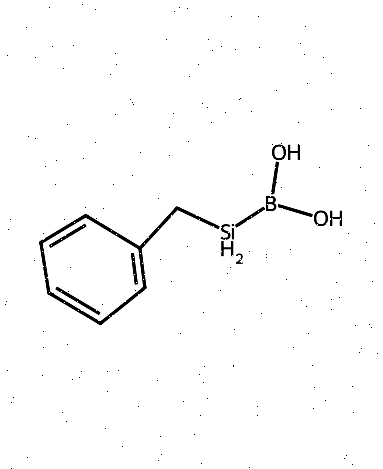 OB(O)[SiH2]Cc1ccccc1